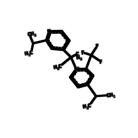 CC(C)c1cc[n+](C(C)(C)c2ccnc(C(C)C)c2)c(C(F)(F)F)c1